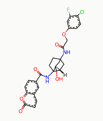 O=C(COc1ccc(Cl)c(F)c1)NC12CCC(NC(=O)c3ccc4oc(=O)ccc4c3)(CC1)[C@@H](O)C2